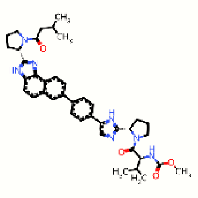 COC(=O)N[C@H](C(=O)N1CCC[C@H]1c1ncc(-c2ccc(-c3ccc4c(ccc5[nH]c([C@@H]6CCCN6C(=O)CC(C)C)nc54)c3)cc2)[nH]1)C(C)C